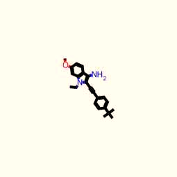 CCn1c(C#Cc2ccc(C(C)(C)C)cc2)c(N)c2ccc(OC)cc21